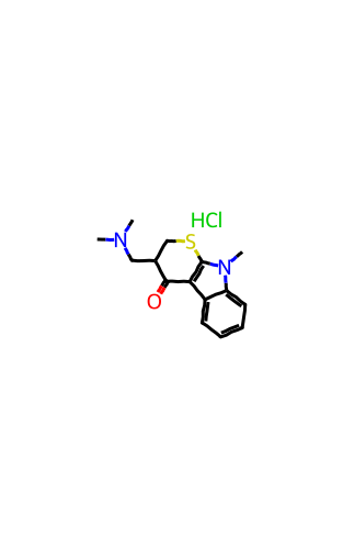 CN(C)CC1CSc2c(c3ccccc3n2C)C1=O.Cl